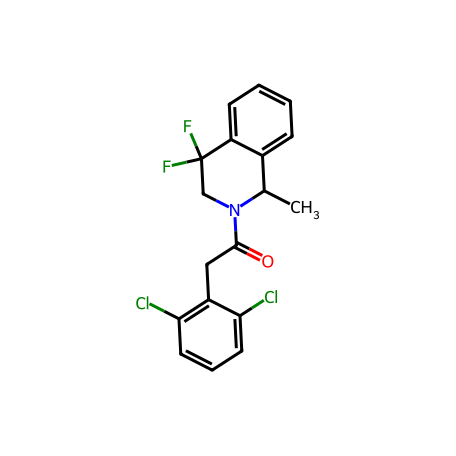 CC1c2ccccc2C(F)(F)CN1C(=O)Cc1c(Cl)cccc1Cl